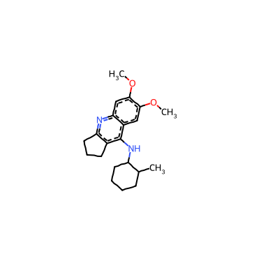 COc1cc2nc3c(c(NC4CCCCC4C)c2cc1OC)CCC3